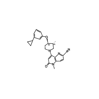 C[C@@H]1CN(c2cc(=O)n(C)c3ccc(C#N)nc23)CC[C@H]1Oc1cccc(C2CC2)c1